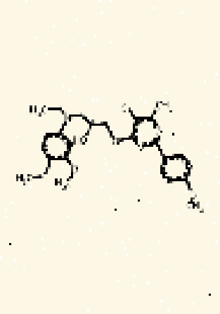 CCN(C[C@H](O)COc1nc(-c2ccc(OC)cc2)nc(C)c1Cl)c1ccc(OC)c(OC)c1